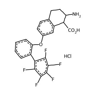 Cl.NC1CCc2ccc(Oc3ccccc3-c3c(F)c(F)c(F)c(F)c3F)cc2C1C(=O)O